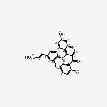 CCc1ccccc1C(=O)c1cnc2cc(O)ccc2c1Oc1ccc(/C=C/C(=O)O)cc1C